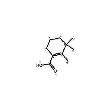 CC1=C(C(=O)O)CCCC1(C)C